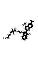 CC(C)c1ccc2nc(C3=C(OCCOC(=O)C(C)(C)CSCCO)c4ccccc4C3=O)cc([N+](=O)[O-])c2c1